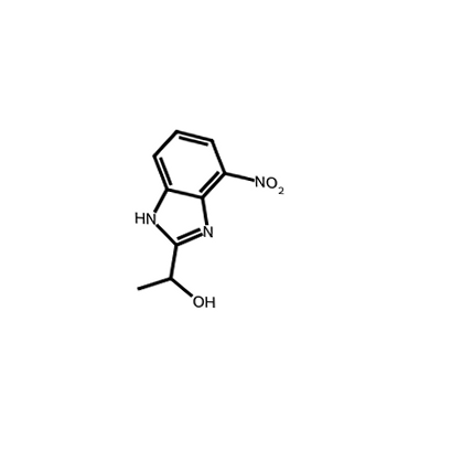 CC(O)c1nc2c([N+](=O)[O-])cccc2[nH]1